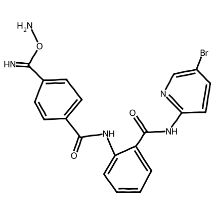 N=C(ON)c1ccc(C(=O)Nc2ccccc2C(=O)Nc2ccc(Br)cn2)cc1